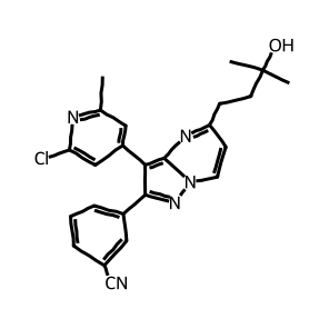 Cc1cc(-c2c(-c3cccc(C#N)c3)nn3ccc(CCC(C)(C)O)nc23)cc(Cl)n1